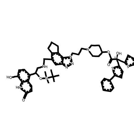 CC(C)(C)[Si](C)(C)OC(CNCc1cc2nnn(CCCN3CCC(OC(=O)[C@](O)(c4cccs4)c4ccc(-c5ccccc5)s4)CC3)c2c2c1CCC2)c1ccc(O)c2[nH]c(=O)ccc12